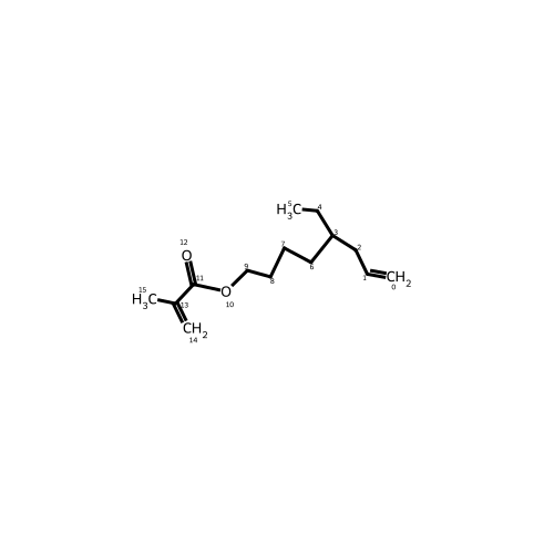 C=CCC(CC)CCCCOC(=O)C(=C)C